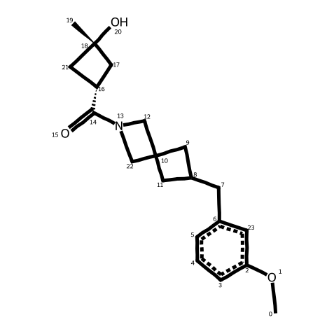 COc1cccc(CC2CC3(C2)CN(C(=O)[C@H]2C[C@@](C)(O)C2)C3)c1